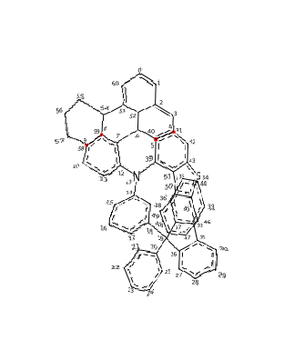 C1=CC2=CC=CC(c3ccccc3N(c3cccc(C4(c5ccccc5)c5ccccc5-c5ccccc54)c3)c3cccc4sc5ccccc5c34)C2C(C2CCCCC2)=C1